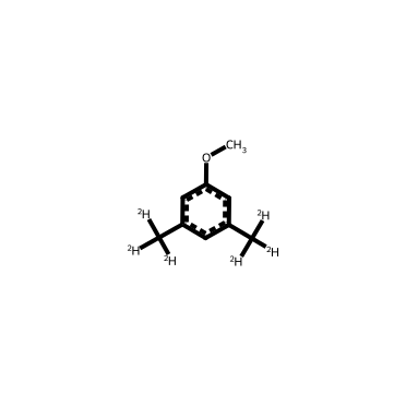 [2H]C([2H])([2H])c1cc(OC)cc(C([2H])([2H])[2H])c1